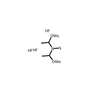 COC(C)N([S])C(C)OC.F.F.F